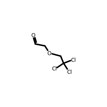 O=CCOCC(Cl)(Cl)Cl